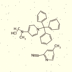 CN(C)C1=CCN(C(c2ccccc2)(c2ccccc2)c2ccccc2)C=C1.Cc1ccnc(C#N)c1.Cl